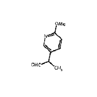 COc1ccc(C(C)C=O)cn1